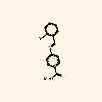 COC(=O)c1ccc(/N=C/c2ccccc2Br)cc1